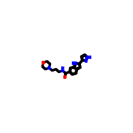 O=C(NCCCN1CCOCC1)c1ccc2cc(-c3cc[nH]n3)[nH]c2c1